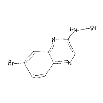 CC(C)Nc1cnc2ccc(Br)cc2n1